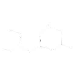 CC[SH2](CC)=NC1CNCC(C)C1